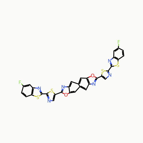 Fc1ccc2sc(-c3ncc(-c4nc5cc6cc7oc(-c8cnc(-c9nc%10cc(F)ccc%10s9)s8)nc7cc6cc5o4)s3)nc2c1